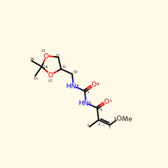 CO/C=C(/C)C(=O)NC(=O)NCC1COC(C)(C)O1